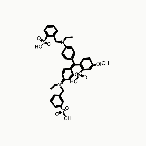 CCN(Cc1ccccc1S(=O)(=O)O)c1ccc(C(=C2C=CC(=[N+](CC)Cc3cccc(S(=O)(=O)O)c3)C=C2)c2ccc(O)cc2S(=O)(=O)O)cc1.[OH-]